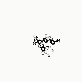 Cc1ccc(Cn2c(-c3ccc(Oc4cccc(C#N)c4)c(C)c3)cc(C(F)(F)F)c(C#N)c2=O)c(C)c1